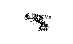 COCCOCC[N+]1=C(C=CC=C2N(CCCSOOO)c3ccc(S(=O)(=O)NCCCCCC(=O)ON4C(=O)CCC4=O)cc3C2(C)C)C(C)(CCOCCOC)c2cc(SOOO)ccc21